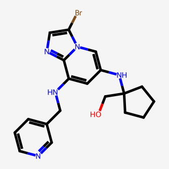 OCC1(Nc2cc(NCc3cccnc3)c3ncc(Br)n3c2)CCCC1